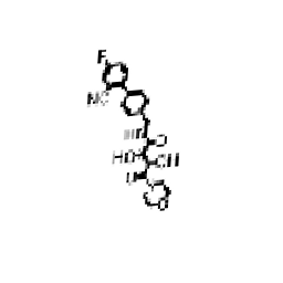 N#Cc1cc(F)ccc1-c1ccc(CNC(=O)[C@H](O)[C@@H](O)C(=O)N2CCOCC2)cc1